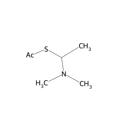 CC(=O)SC(C)N(C)C